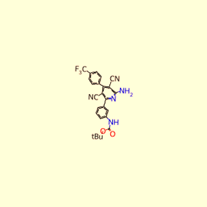 CC(C)(C)OC(=O)Nc1cccc(-c2nc(N)c(C#N)c(-c3ccc(C(F)(F)F)cc3)c2C#N)c1